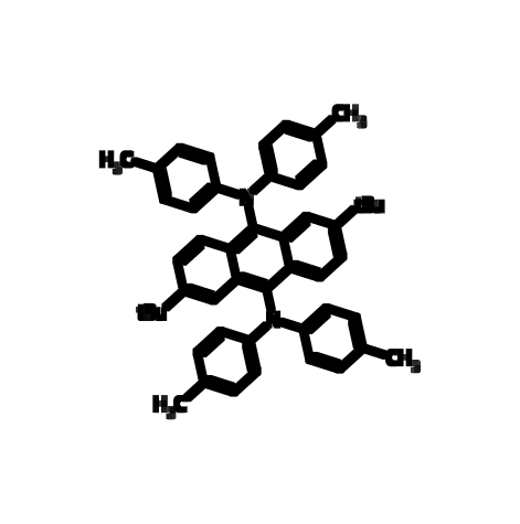 Cc1ccc(N(c2ccc(C)cc2)c2c3ccc(C(C)(C)C)cc3c(N(c3ccc(C)cc3)c3ccc(C)cc3)c3ccc(C(C)(C)C)cc23)cc1